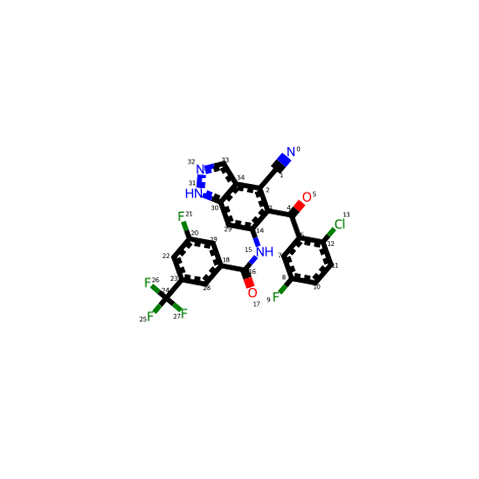 N#Cc1c(C(=O)c2cc(F)ccc2Cl)c(NC(=O)c2cc(F)cc(C(F)(F)F)c2)cc2[nH]ncc12